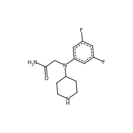 NC(=O)CN(c1cc(F)cc(F)c1)C1CCNCC1